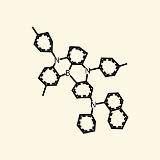 Cc1ccc(N2c3ccc(C)cc3B3c4ccc(N(c5ccccc5)c5cccc6ccccc56)cc4N(c4ccc(C)cc4)c4cccc2c43)cc1